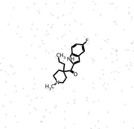 CCCC1(C(=O)c2cc3cc(F)ccc3[nH]2)CCN(C)CC1